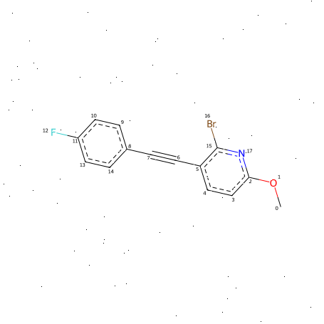 COc1ccc(C#Cc2ccc(F)cc2)c(Br)n1